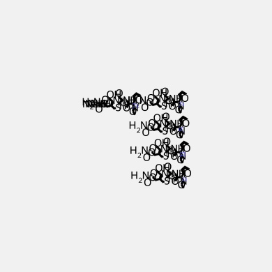 CO/N=C(\C(=O)N[C@@H]1C(=O)N2C(C(=O)O)=C(COC(N)=O)CS[C@@H]12)c1ccco1.CO/N=C(\C(=O)N[C@@H]1C(=O)N2C(C(=O)O)=C(COC(N)=O)CS[C@@H]12)c1ccco1.CO/N=C(\C(=O)N[C@@H]1C(=O)N2C(C(=O)O)=C(COC(N)=O)CS[C@@H]12)c1ccco1.CO/N=C(\C(=O)N[C@@H]1C(=O)N2C(C(=O)O)=C(COC(N)=O)CS[C@@H]12)c1ccco1.CO/N=C(\C(=O)N[C@@H]1C(=O)N2C(C(=O)O)=C(COC(N)=O)CS[C@@H]12)c1ccco1.[NaH].[NaH].[NaH].[NaH]